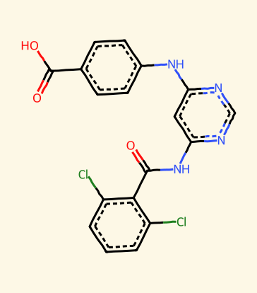 O=C(O)c1ccc(Nc2cc(NC(=O)c3c(Cl)cccc3Cl)ncn2)cc1